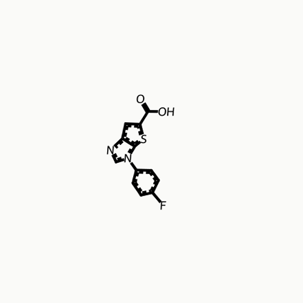 O=C(O)c1cc2ncn(-c3ccc(F)cc3)c2s1